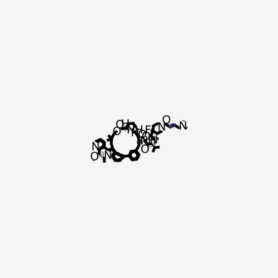 CCn1c(-c2cccnc2[C@H](C)OC)c2c3cc(ccc31)-c1cccc(c1)C[C@H](NC(=O)[C@H](C(C)C)N(C)C(=O)C1(F)CCN(C(=O)/C=C/CN(C)C)CC1)C(=O)N1CCC[C@H](N1)C(=O)OCC(C)(C)C2